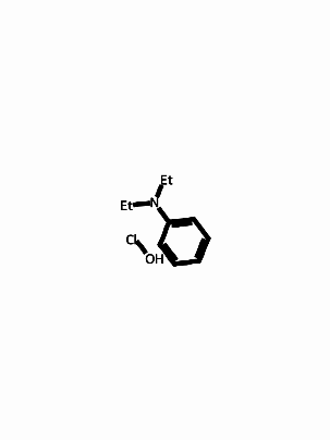 CCN(CC)c1ccccc1.OCl